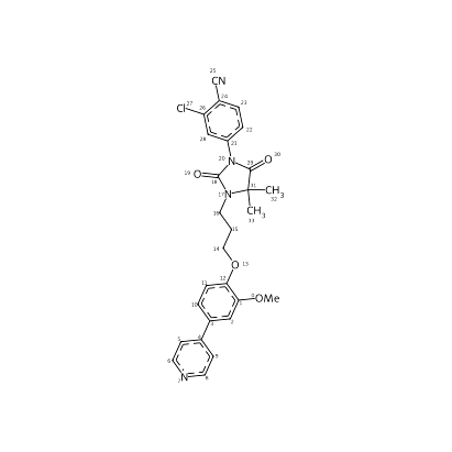 COc1cc(-c2ccncc2)ccc1OCCCN1C(=O)N(c2ccc(C#N)c(Cl)c2)C(=O)C1(C)C